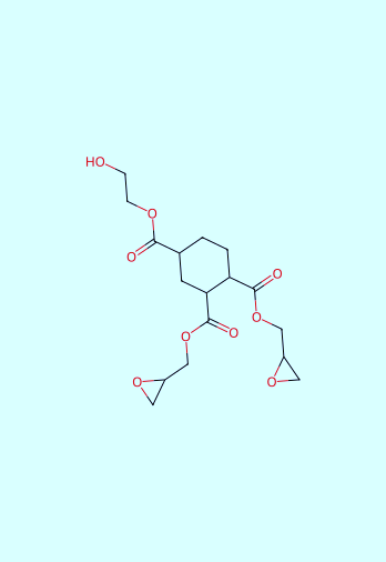 O=C(OCCO)C1CCC(C(=O)OCC2CO2)C(C(=O)OCC2CO2)C1